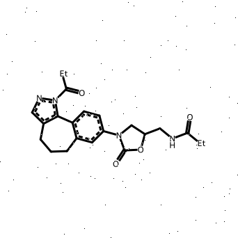 CCC(=O)NCC1CN(c2ccc3c(c2)CCCc2cnn(C(=O)CC)c2-3)C(=O)O1